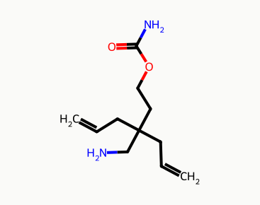 C=CCC(CN)(CC=C)CCOC(N)=O